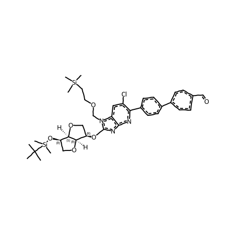 CC(C)(C)[Si](C)(C)O[C@@H]1CO[C@H]2[C@@H]1OC[C@H]2Oc1nc2nc(-c3ccc(-c4ccc(C=O)cc4)cc3)c(Cl)cc2n1COCC[Si](C)(C)C